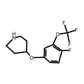 Fc1ccc(OC2CCNCC2)cc1OC(F)(F)F